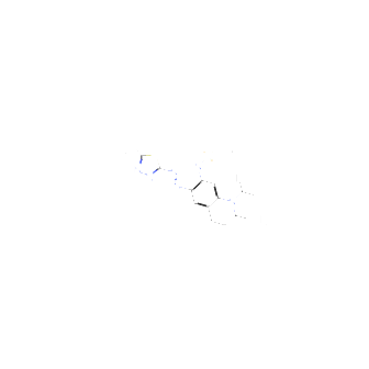 CCOC(=O)c1nnc(N=Nc2cc3c(cc2NS(=O)(=O)C(F)(F)F)N(C(CC)CC)C(C)CC3)s1